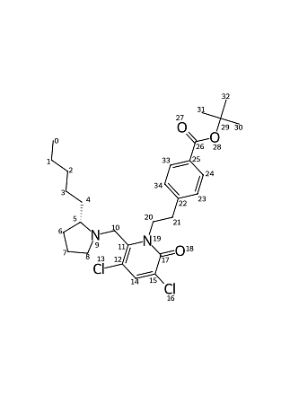 CCCCC[C@H]1CCCN1Cc1c(Cl)cc(Cl)c(=O)n1CCc1ccc(C(=O)OC(C)(C)C)cc1